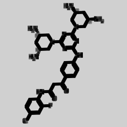 N[C@@H]1C[C@H](N)CN(c2nc(Nc3ccc(C(=O)CC(=O)Nc4ccc(Cl)cc4F)cc3)nc(N3C[C@H](N)C[C@H](N)C3)n2)C1